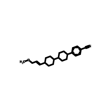 COCC=CC1CCC(C2CCC(c3ccc(C#N)cc3)CC2)CC1